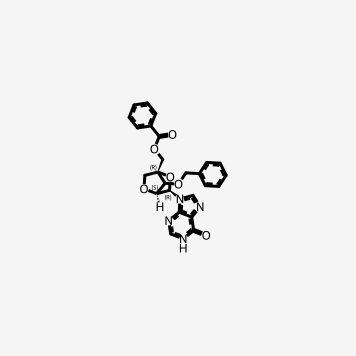 O=C(OC[C@]12CO[C@@H](C1OCc1ccccc1)[C@H](n1cnc3c(=O)[nH]cnc31)O2)c1ccccc1